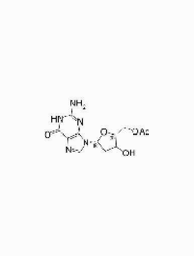 CC(=O)OC[C@H]1O[C@@H](n2cnc3c(=O)[nH]c(N)nc32)CC1O